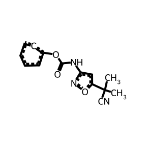 CC(C)(C#N)c1cc(NC(=O)Oc2ccccc2)no1